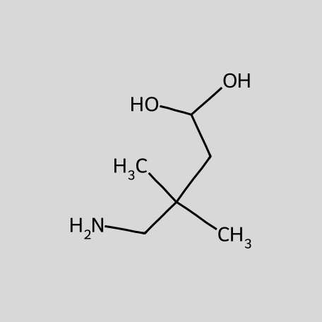 CC(C)(CN)CC(O)O